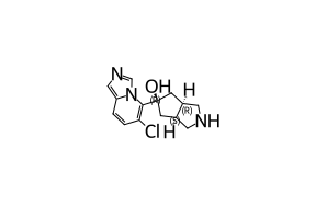 O[C@@]1(c2c(Cl)ccc3cncn23)C[C@H]2CNC[C@H]2C1